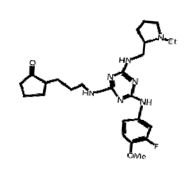 CCN1CCCC1CNc1nc(NCCCC2CCCC2=O)nc(Nc2ccc(OC)c(F)c2)n1